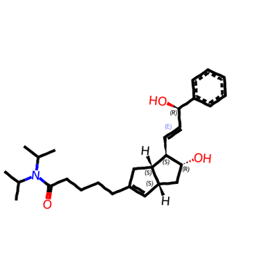 CC(C)N(C(=O)CCCCC1=C[C@H]2C[C@@H](O)[C@H](/C=C/[C@@H](O)c3ccccc3)[C@H]2C1)C(C)C